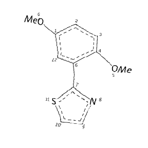 COc1ccc(OC)c(-c2n[c]cs2)c1